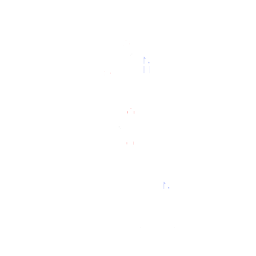 O=C(COc1cccc(C(C(=O)OCC2CCN(Cc3ccccc3)CC2)c2ccccc2)c1)NC1CCCCC1